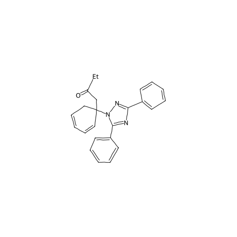 CCC(=O)CC1(n2nc(-c3ccccc3)nc2-c2ccccc2)C=CC=CC1